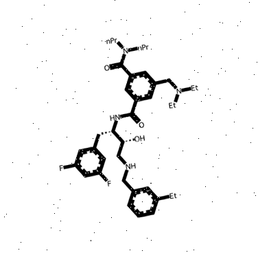 CCCN(CCC)C(=O)c1cc(CN(CC)CC)cc(C(=O)N[C@@H](Cc2cc(F)cc(F)c2)[C@H](O)CNCc2cccc(CC)c2)c1